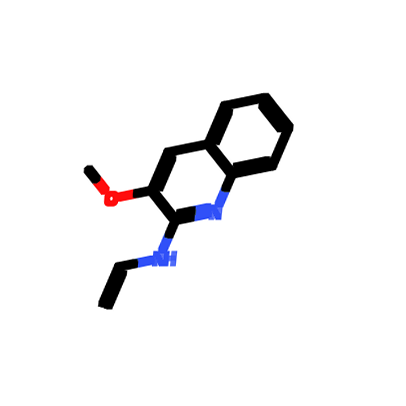 C=CNc1nc2ccccc2cc1OC